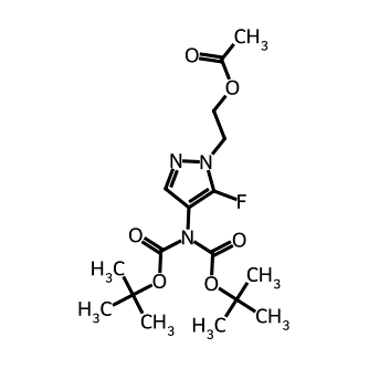 CC(=O)OCCn1ncc(N(C(=O)OC(C)(C)C)C(=O)OC(C)(C)C)c1F